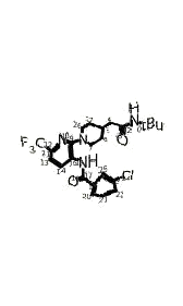 CC(C)(C)NC(=O)CC1CCN(c2nc(C(F)(F)F)ccc2NC(=O)c2cccc(Cl)c2)CC1